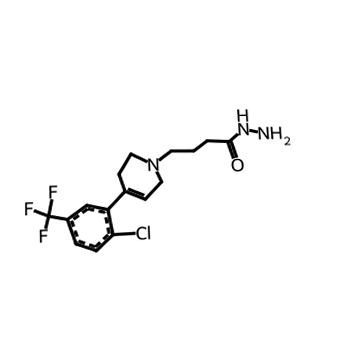 NNC(=O)CCCN1CC=C(c2cc(C(F)(F)F)ccc2Cl)CC1